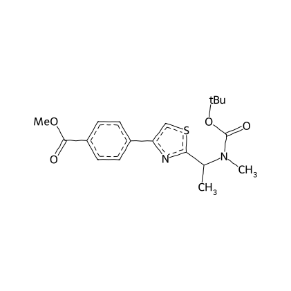 COC(=O)c1ccc(-c2csc(C(C)N(C)C(=O)OC(C)(C)C)n2)cc1